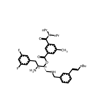 CCCCC=Cc1cccc(CNC[C@@H](OC(=O)c2cc(C)cc(C(=O)N(CCC)CCC)c2)[C@@H](N)Cc2cc(F)cc(F)c2)c1